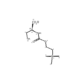 C[Si](C)(C)CCOC(=O)N[C@@H](CS)C(=O)O